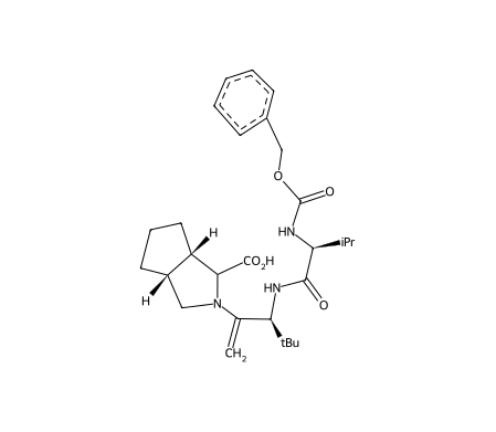 C=C([C@@H](NC(=O)[C@@H](NC(=O)OCc1ccccc1)C(C)C)C(C)(C)C)N1C[C@@H]2CCC[C@@H]2C1C(=O)O